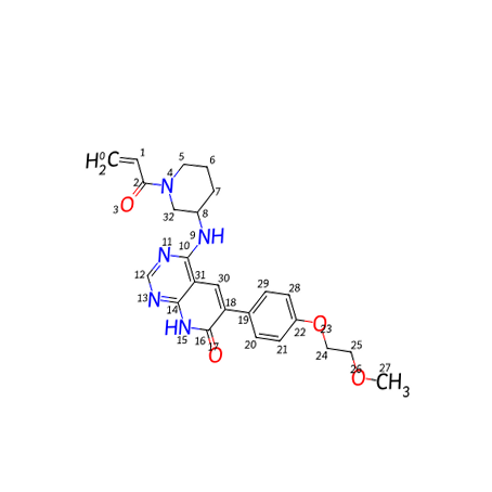 C=CC(=O)N1CCCC(Nc2ncnc3[nH]c(=O)c(-c4ccc(OCCOC)cc4)cc23)C1